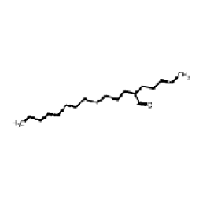 CCCCCCCCCCCCC([C]=O)CCCCC